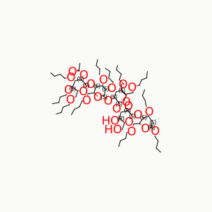 CCCCOCC1O[C@@H](OCCCC)[C@@H](C)C(OCCCC)[C@@H]1O[C@@H]1OC(CO)[C@@H](O)C(O[C@@H]2OC(COCCCC)[C@H](OCCCC)C(OCCCC)[C@@H]2O[C@@H]2OC(COCCCC)[C@@H](O[C@@H]3OC(COCCCC)[C@H](OCCCC)C(OCCCC)[C@@H]3OC(C)=O)C(OCCCC)[C@@H]2C)[C@H]1OCCCC